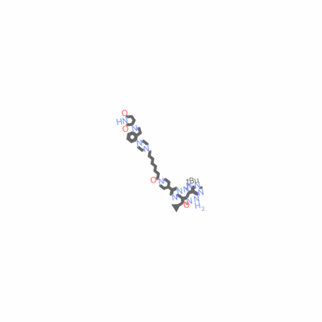 CC(C)(C)n1nc(-c2noc(C3CC3)c2-c2ncc(C3CCN(C(=O)CCCCCCCN4CCN(c5cccc6c5CCN6C5CCC(=O)NC5=O)CC4)CC3)cn2)c2c(N)ncnc21